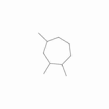 C[C]1CCCC(C)CC1C